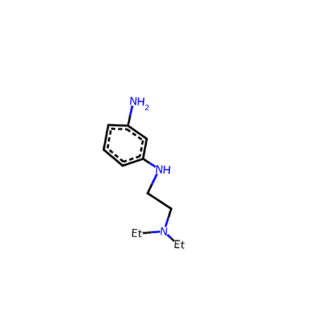 CCN(CC)CCNc1cccc(N)c1